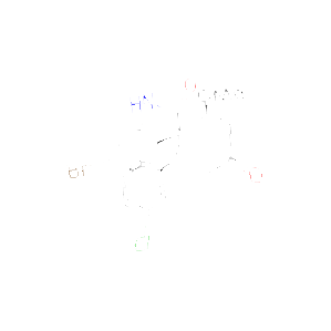 CO[C@H]1CC(=O)C[C@@H](c2cccc(Cl)c2)[C@]12C(=O)Nc1cc(Br)ccc12